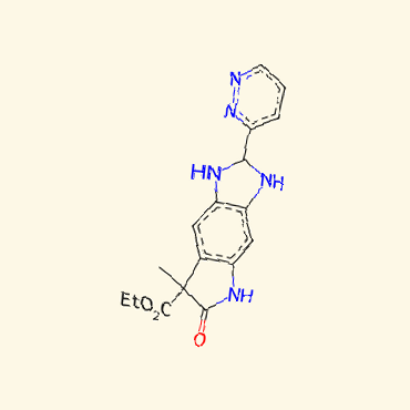 CCOC(=O)C1(C)C(=O)Nc2cc3c(cc21)NC(c1cccnn1)N3